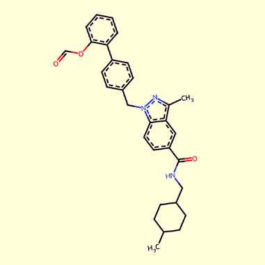 Cc1nn(Cc2ccc(-c3ccccc3OC=O)cc2)c2ccc(C(=O)NCC3CCC(C)CC3)cc12